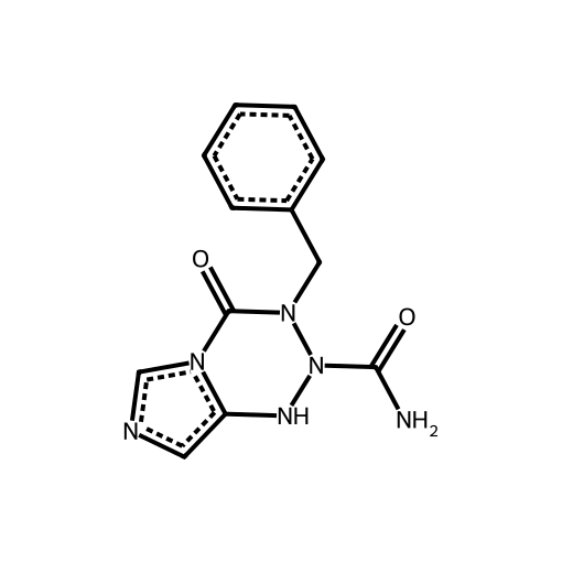 NC(=O)N1Nc2cncn2C(=O)N1Cc1ccccc1